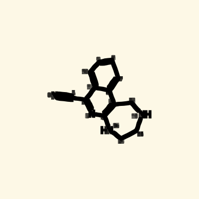 N#Cc1nc2c(c3ccccc13)CNCCN2